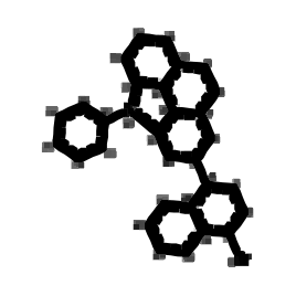 Brc1ccc(-c2cc3ccc4cccc5c4c3c(c2)n5-c2ccccc2)c2ccccc12